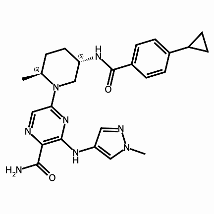 C[C@H]1CC[C@H](NC(=O)c2ccc(C3CC3)cc2)CN1c1cnc(C(N)=O)c(Nc2cnn(C)c2)n1